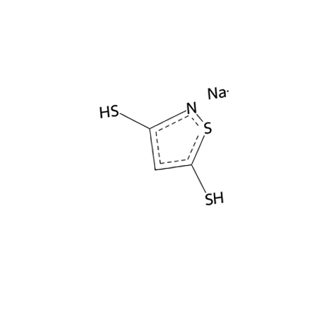 Sc1cc(S)sn1.[Na]